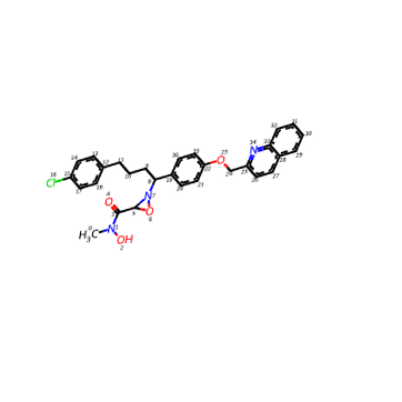 CN(O)C(=O)C1ON1C(CCCc1ccc(Cl)cc1)c1ccc(OCc2ccc3ccccc3n2)cc1